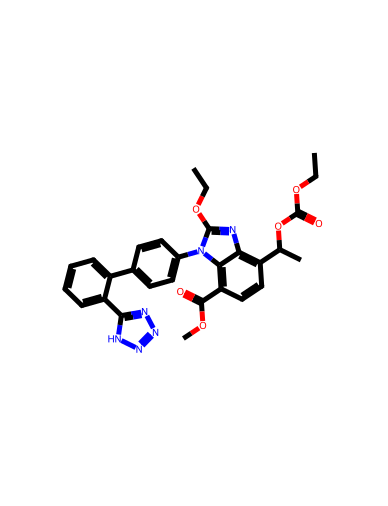 CCOC(=O)OC(C)c1ccc(C(=O)OC)c2c1nc(OCC)n2-c1ccc(-c2ccccc2-c2nnn[nH]2)cc1